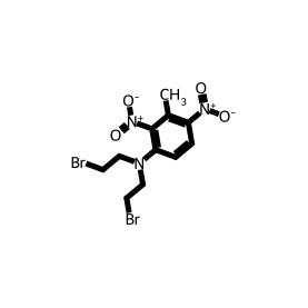 Cc1c([N+](=O)[O-])ccc(N(CCBr)CCBr)c1[N+](=O)[O-]